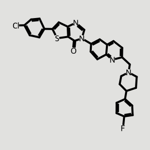 O=c1c2sc(-c3ccc(Cl)cc3)cc2ncn1-c1ccc2nc(CN3CCC(c4ccc(F)cc4)CC3)ccc2c1